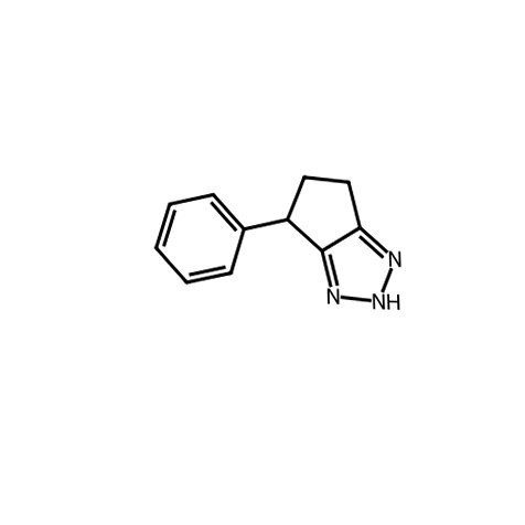 c1ccc(C2CCc3n[nH]nc32)cc1